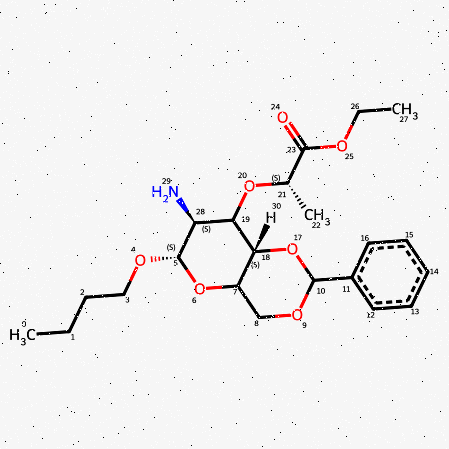 CCCCO[C@H]1OC2COC(c3ccccc3)O[C@H]2C(O[C@@H](C)C(=O)OCC)[C@@H]1N